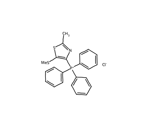 CSc1sc(C)nc1[P+](c1ccccc1)(c1ccccc1)c1ccccc1.[Cl-]